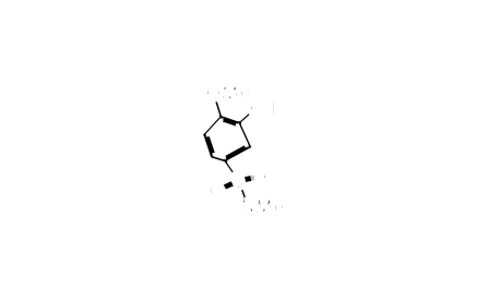 CNS(=O)(=O)c1ccc(OC)c(C)c1